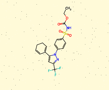 CCOC(=O)NS(=O)(=O)c1ccc(-n2nc(C(F)(F)F)cc2C2=CCCC=C2)cc1